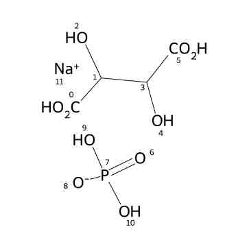 O=C(O)C(O)C(O)C(=O)O.O=P([O-])(O)O.[Na+]